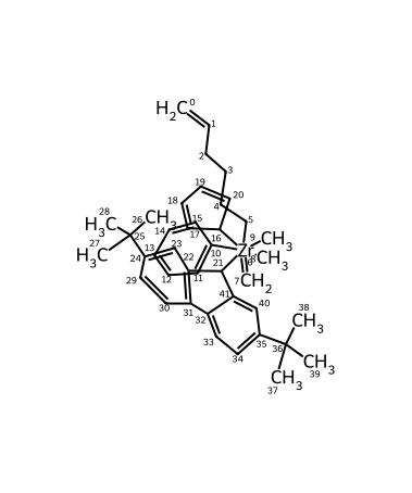 C=CCCC[CH2][Zr](=[CH2])([CH3])([CH3])([c]1ccccc1)([CH]1C=CC=C1)[CH]1c2cc(C(C)(C)C)ccc2-c2ccc(C(C)(C)C)cc21